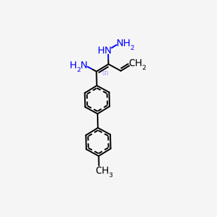 C=C/C(NN)=C(/N)c1ccc(-c2ccc(C)cc2)cc1